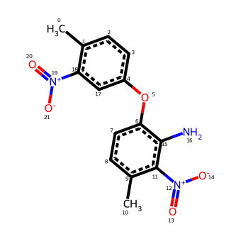 Cc1ccc(Oc2ccc(C)c([N+](=O)[O-])c2N)cc1[N+](=O)[O-]